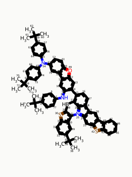 CC(C)(C)c1ccc(Nc2cc3c(cc2-c2ccc4c5cc6c(cc5n5c4c2Bc2sc4ccc(C(C)(C)C)cc4c2-5)sc2ccccc26)oc2ccc(N(c4ccc(C(C)(C)C)cc4)c4ccc(C(C)(C)C)cc4)cc23)cc1